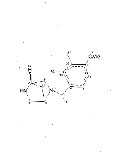 COc1ccc([C@H](C)N2C[C@@H]3CC2CN3)c(C)c1C